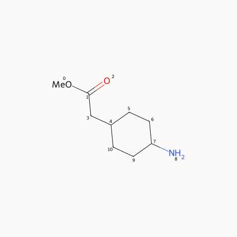 COC(=O)CC1CCC(N)CC1